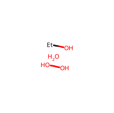 CCO.O.OO